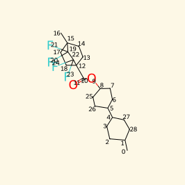 CC1CCC(C2CCC(OC(=O)C34CCC(C)(CC3)C(F)(F)C4(F)F)CC2)CC1